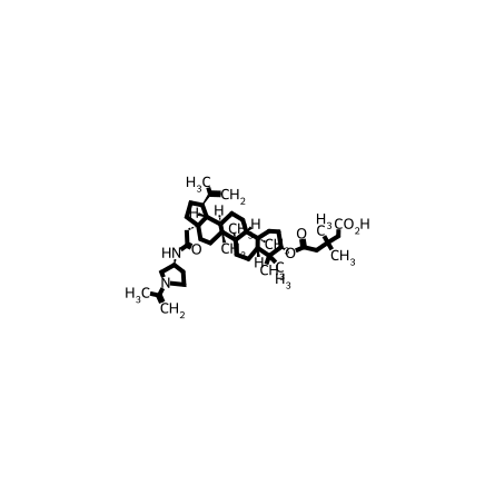 C=C(C)[C@@H]1CC[C@]2(CC(=O)N[C@@H]3CCN(C(=C)C)C3)CC[C@]3(C)[C@H](CC[C@@H]4[C@@]5(C)CC[C@H](OC(=O)CC(C)(C)CC(=O)O)C(C)(C)[C@@H]5CC[C@]43C)[C@@H]12